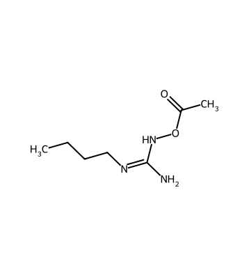 CCCCN=C(N)NOC(C)=O